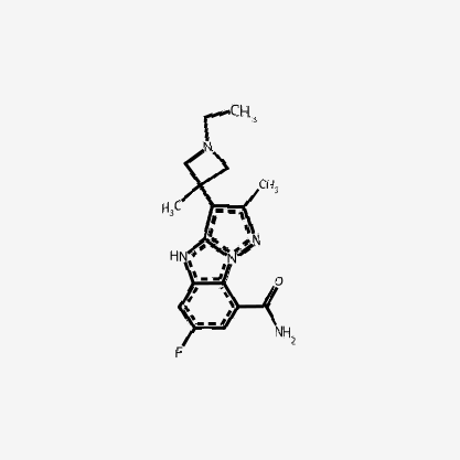 CCN1CC(C)(c2c(C)nn3c2[nH]c2cc(F)cc(C(N)=O)c23)C1